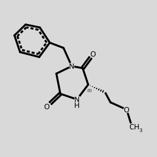 COCC[C@@H]1NC(=O)CN(Cc2ccccc2)C1=O